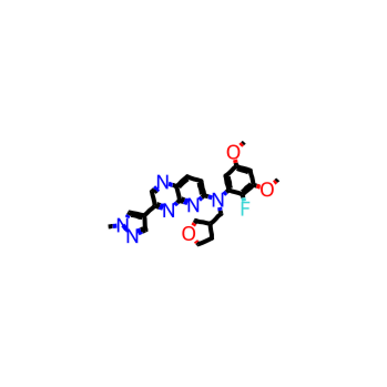 COc1cc(OC)c(F)c(N(CC2CCOC2)c2ccc3ncc(-c4cnn(C)c4)nc3n2)c1